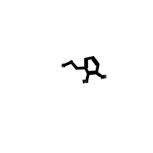 [N]OCc1cccc(O)c1O